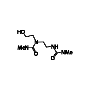 CNC(=O)NCCN(CCO)C(=O)NC